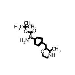 CC1NCCOC1Cc1ccc(N(N)C(=O)OC(C)(C)C)cc1